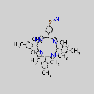 Cc1cc(C)c(-c2c3nc(c(-c4c(C)cc(C)cc4C)c4ccc([nH]4)c(-c4c(C)cc(C)cc4C)c4nc(c(-c5ccc(SC#N)cc5)c5ccc2[nH]5)C=C4)C=C3)c(C)c1